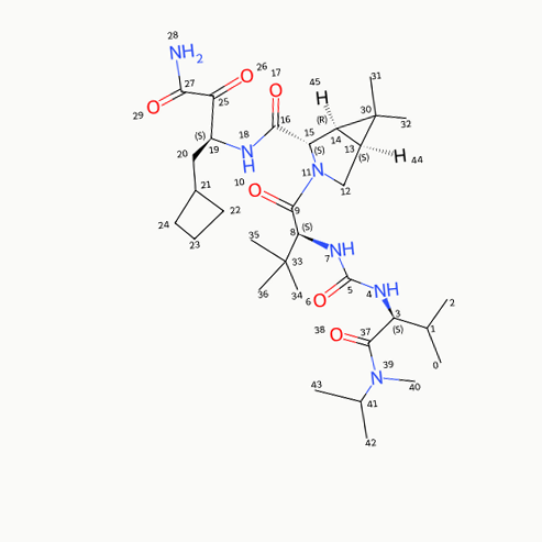 CC(C)[C@H](NC(=O)N[C@H](C(=O)N1C[C@H]2[C@@H]([C@H]1C(=O)N[C@@H](CC1CCC1)C(=O)C(N)=O)C2(C)C)C(C)(C)C)C(=O)N(C)C(C)C